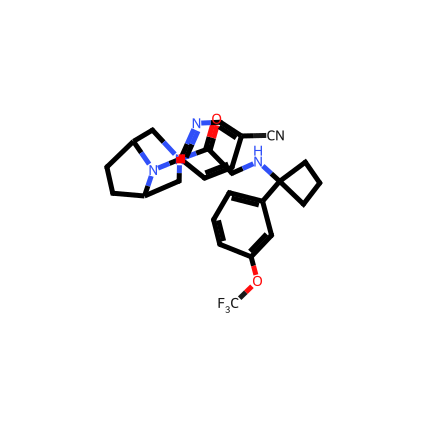 N#Cc1ccc(N2C3CCC2CN(C(=O)CNC2(c4cccc(OC(F)(F)F)c4)CCC2)C3)nc1